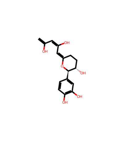 C=C(O)/C=C(O)\C=C1/CC[C@H](O)[C@@H](c2ccc(O)c(O)c2)O1